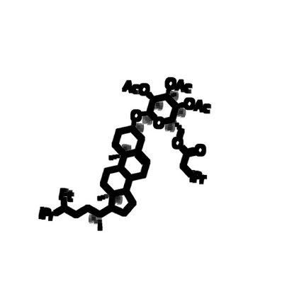 CCC(CC[C@@H](C)C1CCC2C3CC=C4C[C@@H](O[C@H]5O[C@@H](COC(=O)CC(C)C)[C@H](OC(C)=O)[C@@H](OC(C)=O)[C@@H]5OC(C)=O)CC[C@]4(C)C3CC[C@@]21C)C(C)C